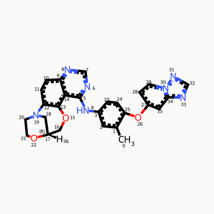 Cc1cc(Nc2ncnc3ccc4c(c23)OC[C@H]2CN4CCO2)ccc1Oc1ccn2ncnc2c1